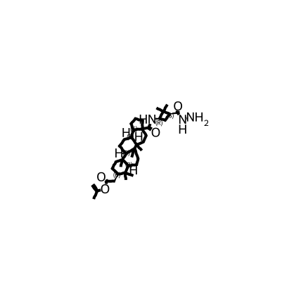 C=C(C)OC(=O)C[C@H]1CCC2(C)[C@H](CCC3(C)[C@@H]2CC[C@@H]2[C@@H]4CCCC4(C(=O)N[C@@H]4C[C@H](C(=O)NN)C4(C)C)CCC23C)C1(C)C